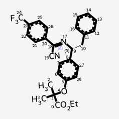 CCOC(=O)C(C)(C)Oc1ccc([C@@H](Cc2ccccc2)/N=C(\C#N)c2ccc(C(F)(F)F)cc2)cc1